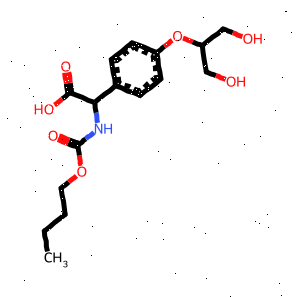 CCCCOC(=O)NC(C(=O)O)c1ccc(OC(CO)CO)cc1